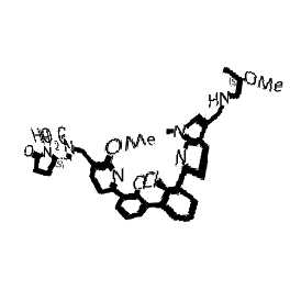 COc1nc(-c2cccc(-c3cccc(-c4ccc5c(CNC[C@H](C)OC)cn(C)c5n4)c3Cl)c2Cl)ccc1CN(C[C@@H]1CCC(=O)N1)C(=O)O